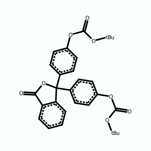 CC(C)(C)OC(=O)Oc1ccc(C2(c3ccc(OC(=O)OC(C)(C)C)cc3)OC(=O)c3ccccc32)cc1